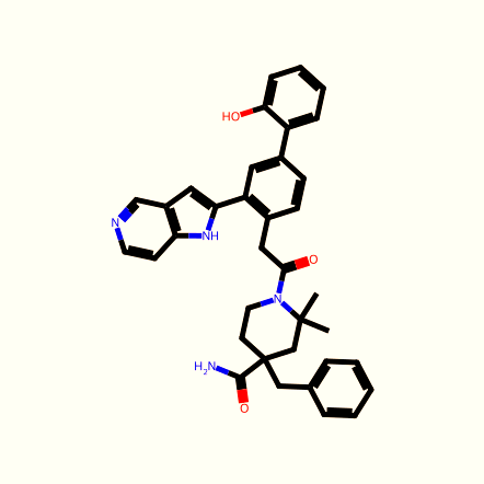 CC1(C)CC(Cc2ccccc2)(C(N)=O)CCN1C(=O)Cc1ccc(-c2ccccc2O)cc1-c1cc2cnccc2[nH]1